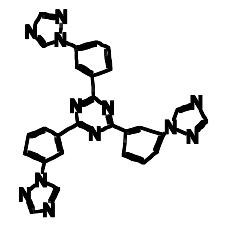 c1cc(-c2nc(-c3cccc(-n4cncn4)c3)nc(-c3cccc(-n4cncn4)c3)n2)cc(-n2cncn2)c1